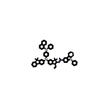 C=CC1=C(/C=C(\C)c2ccc3c(c2)c2c(n3-c3ccccc3)CCC=C2)C(C)(C)c2cc(N(c3ccc(N(c4ccccc4)c4cccc5ccccc45)cc3)c3ccc4c(c3)C(C)(C)c3ccccc3-4)ccc21